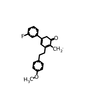 [CH2]C1=C(CCc2ccc(OC)cc2)C=C(c2cccc(F)c2)CC1=O